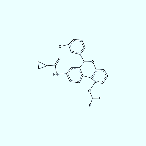 O=C(Nc1ccc2c(c1)C(c1cccc(Cl)c1)Oc1cccc(OC(F)F)c1-2)C1CC1